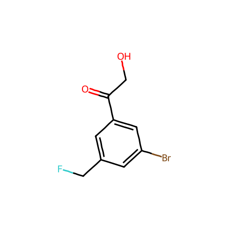 O=C(CO)c1cc(Br)cc(CF)c1